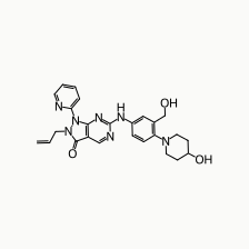 C=CCn1c(=O)c2cnc(Nc3ccc(N4CCC(O)CC4)c(CO)c3)nc2n1-c1ccccn1